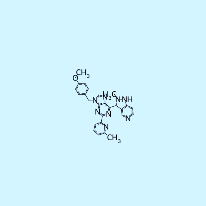 COc1ccc(Cn2cnc3c(C4c5cnccc5NN4C)nc(-c4cccc(C)n4)nc32)cc1